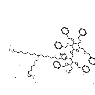 CCCCCCCN(CCCCCCC)CCCCCCc1cn([C@@H](COC2OC(COCc3ccccc3)C(OCc3ccccc3)C(OCc3ccccc3)C2OCc2ccccc2)[C@H](OCc2ccccc2)[C@@H](CC)OCc2ccccc2)nn1